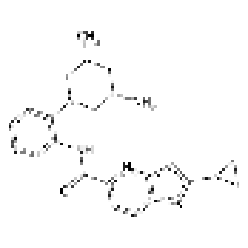 C[C@@H]1C[C@H](N)CN(c2ccncc2NC(=O)c2ccc3sc(C4CC4)cc3n2)C1